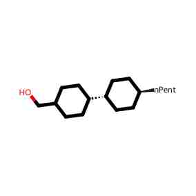 CCCCC[C@H]1CC[C@H](C2CCC(CO)CC2)CC1